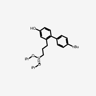 CCCCc1ccc(-c2ccc(O)cc2CCC[SiH](OC(C)C)OC(C)C)cc1